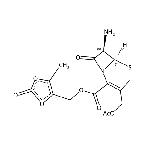 CC(=O)OCC1=C(C(=O)OCc2oc(=O)oc2C)N2C(=O)[C@@H](N)[C@H]2SC1